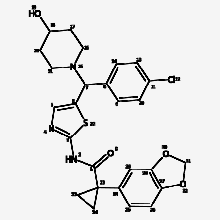 O=C(Nc1ncc(C(c2ccc(Cl)cc2)N2CCC(O)CC2)s1)C1(c2ccc3c(c2)OCO3)CC1